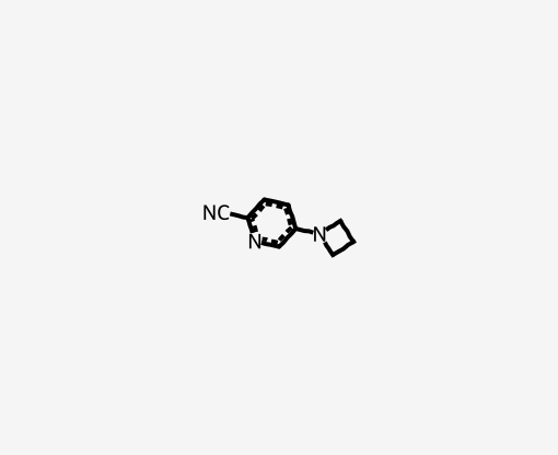 N#Cc1ccc(N2CCC2)cn1